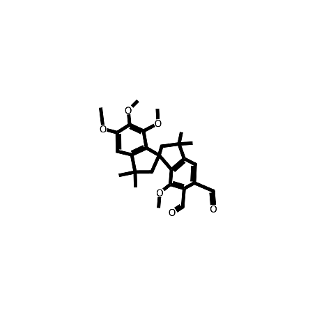 COc1cc2c(c(OC)c1OC)C1(CC(C)(C)c3cc(C=O)c(C=O)c(OC)c31)CC2(C)C